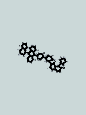 c1ccc2c(-c3c4ccccc4c(-c4ccc(-c5ccc6sc7c(ccc8ccc9sc%10ccccc%10c9c87)c6c5)cc4)c4ccccc34)cccc2c1